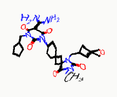 CN1C(=O)N(CC2CC3(COC3)C2)C2(CC3(CCC(N4C(=O)C(=C(N)N)C(=O)N(CC5CCCC5)C4=O)CC3)C2)C1=O